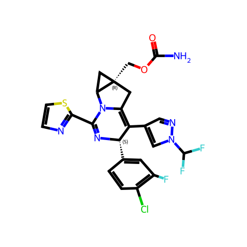 NC(=O)OC[C@]12CC3=C(c4cnn(C(F)F)c4)[C@H](c4ccc(Cl)c(F)c4)N=C(c4nccs4)N3C1C2